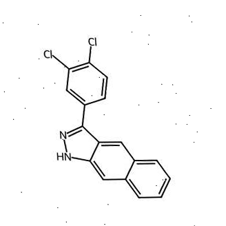 Clc1ccc(-c2n[nH]c3cc4ccccc4cc23)cc1Cl